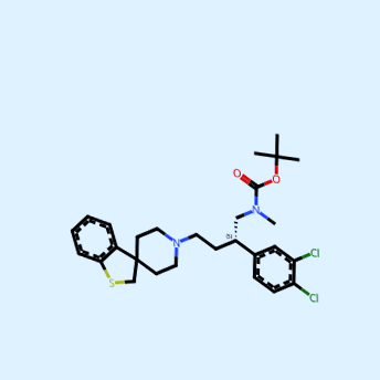 CN(C[C@@H](CCN1CCC2(CC1)CSc1ccccc12)c1ccc(Cl)c(Cl)c1)C(=O)OC(C)(C)C